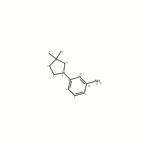 CC1(C)CCN(c2cccc(N)n2)C1